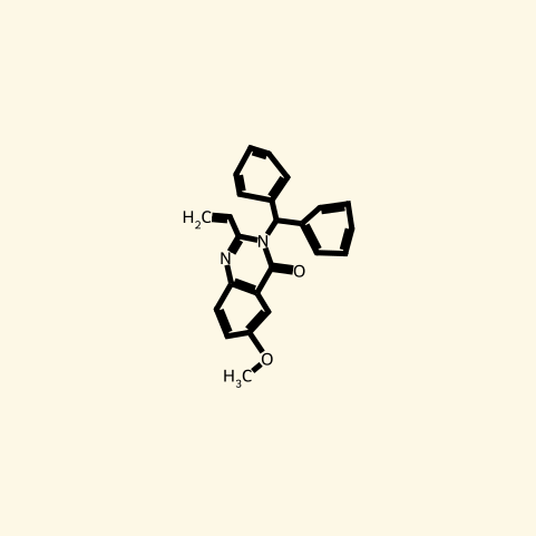 C=Cc1nc2ccc(OC)cc2c(=O)n1C(c1ccccc1)c1ccccc1